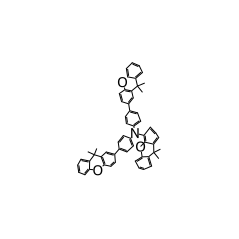 CC1(C)c2ccccc2Oc2ccc(-c3ccc(N(c4ccc(-c5ccc6c(c5)C(C)(C)c5ccccc5O6)cc4)c4cccc5c4Oc4ccccc4C5(C)C)cc3)cc21